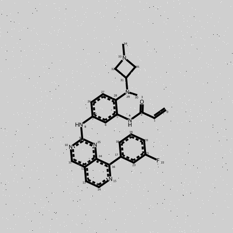 C=CC(=O)Nc1cc(Nc2ncc3ccnc(-c4cccc(F)c4)c3n2)ccc1N(C)C1CN(C)C1